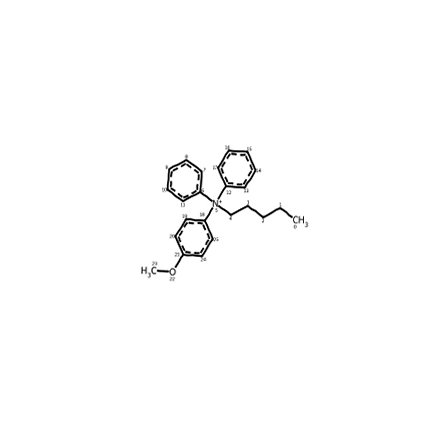 CCCCC[N+](c1ccccc1)(c1ccccc1)c1ccc(OC)cc1